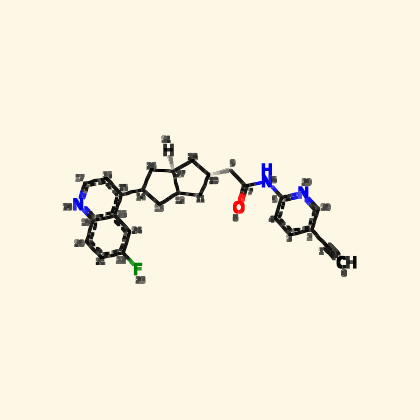 C#Cc1ccc(NC(=O)C[C@@H]2CC3CC(c4ccnc5ccc(F)cc45)C[C@H]3C2)nc1